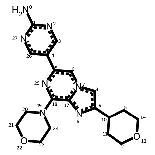 Nc1ncc(-c2cn3cc(C4CCOCC4)nc3c(N3CCOCC3)n2)cn1